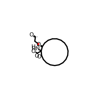 O=[C]CCNC1(C(=O)O)C(=O)CCCCCCCCCCCCCCCCC1=O